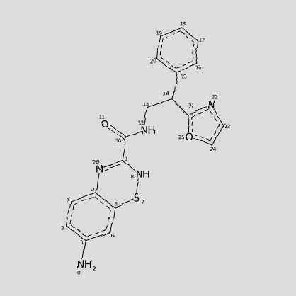 Nc1ccc2c(c1)SNC(C(=O)NCC(c1ccccc1)c1ncco1)=N2